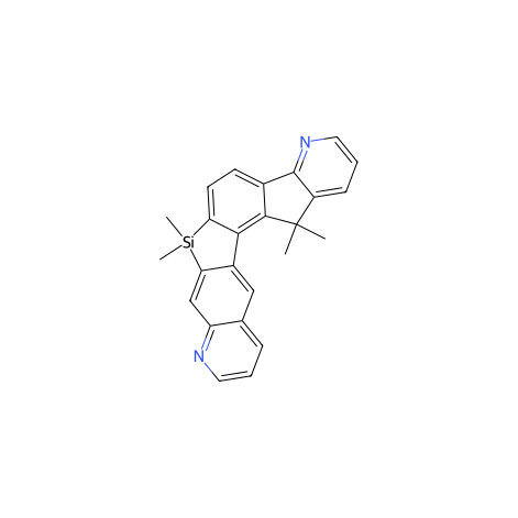 CC1(C)c2cccnc2-c2ccc3c(c21)-c1cc2cccnc2cc1[Si]3(C)C